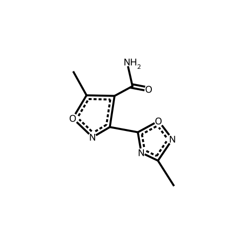 Cc1noc(-c2noc(C)c2C(N)=O)n1